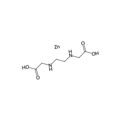 O=C(O)CNCCNCC(=O)O.[Zn]